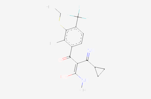 CCSc1c(C(F)(F)F)ccc(C(=O)/C(C(=N)C2CC2)=C(\O)NC)c1C